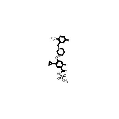 CS(=O)(=O)NC(=O)c1cc(C2CC2)c(O[C@@H]2CCCN(Cc3cc(F)ccc3C(F)(F)F)C2)cc1F